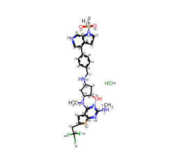 CNc1nc(N(C)[C@H]2C[C@@H](NCc3ccc(-c4cncc5c4ccn5S(C)(=O)=O)cc3)C[C@H]2O)c2cc(CC(F)(F)F)sc2n1.Cl